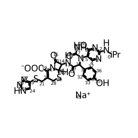 CC(C)Nc1ncc(N(C(N)=O)C(C(=O)NC2C(=O)N3C(C(=O)[O-])=C(CSc4c[nH]nn4)CS[C@@H]23)c2ccc(O)cc2)c(O)n1.[Na+]